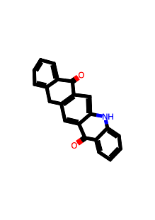 O=C1c2ccccc2Cc2cc3c(=O)c4ccccc4[nH]c3cc21